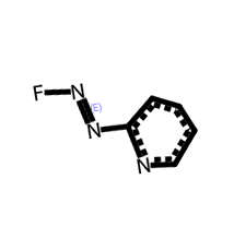 F/N=N/c1ccccn1